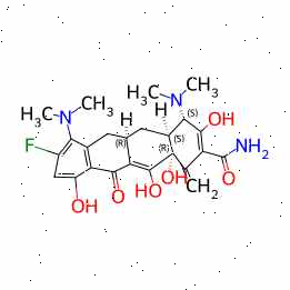 C=C1C(C(N)=O)=C(O)[C@@H](N(C)C)[C@@H]2C[C@@H]3Cc4c(c(O)cc(F)c4N(C)C)C(=O)C3=C(O)[C@]12O